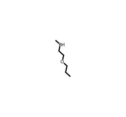 CBCCOCCC